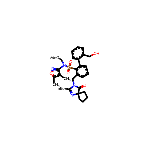 CCCCC1=NC2(CCCC2)C(=O)N1Cc1cccc(-c2ccccc2CO)c1S(=O)(=O)N(COC)c1noc(C)c1C